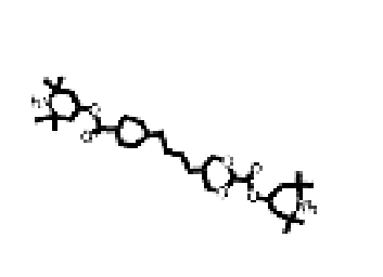 CC1(C)CC(OC(=O)C2CCC(CCCCC3COC(C(=O)OC4CC(C)(C)NC(C)(C)C4)OC3)CC2)CC(C)(C)N1